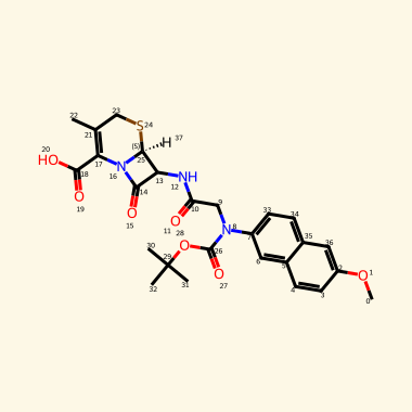 COc1ccc2cc(N(CC(=O)NC3C(=O)N4C(C(=O)O)=C(C)CS[C@@H]34)C(=O)OC(C)(C)C)ccc2c1